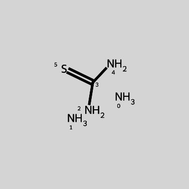 N.N.NC(N)=S